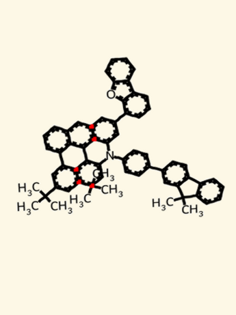 CC(C)(C)c1cc(-c2cccc3cccc(-c4ccccc4N(c4ccc(-c5ccc6c(c5)C(C)(C)c5ccccc5-6)cc4)c4cccc(-c5cccc6c5oc5ccccc56)c4)c23)cc(C(C)(C)C)c1